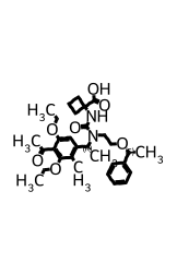 CCOc1cc([C@@H](C)N(CCO[C@@H](C)c2ccccc2)C(=O)NC2(C(=O)O)CCC2)c(C)c(OCC)c1C(C)=O